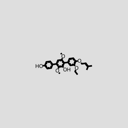 CCOc1cc(-c2c(OC)cc(-c3ccc(O)cc3)c(OC)c2O)ccc1OCC=C(C)C